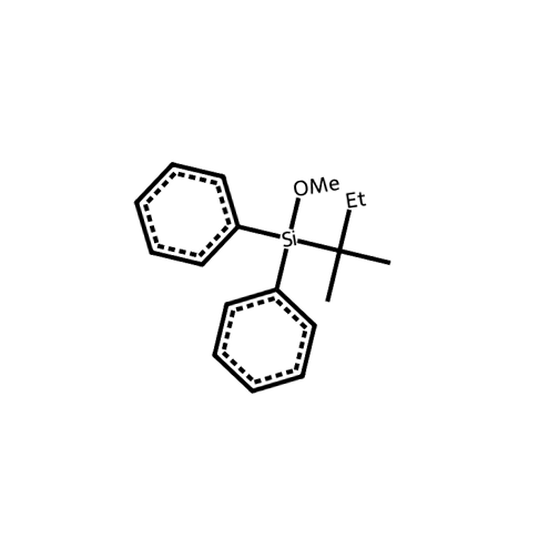 CCC(C)(C)[Si](OC)(c1ccccc1)c1ccccc1